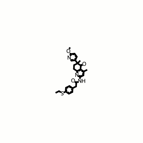 CCSc1ccc(CC(=O)Nc2cc(C)c3c(n2)CCC(C)(c2ccc(OC)nc2)C3=O)cc1